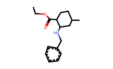 CCOC(=O)C1CCC(C)CC1NCc1ccccc1